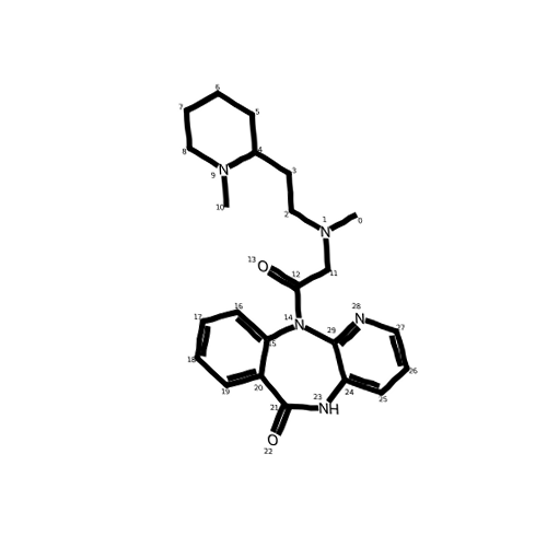 CN(CCC1CCCCN1C)CC(=O)N1c2ccccc2C(=O)Nc2cccnc21